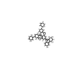 c1ccc(-c2ccc3c(c2)Oc2cc(-n4c5ccccc5c5ccccc54)cc4c2B3c2ccc(-c3ccccc3)cc2O4)cc1